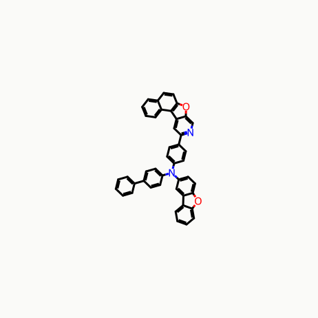 c1ccc(-c2ccc(N(c3ccc(-c4cc5c(cn4)oc4ccc6ccccc6c45)cc3)c3ccc4oc5ccccc5c4c3)cc2)cc1